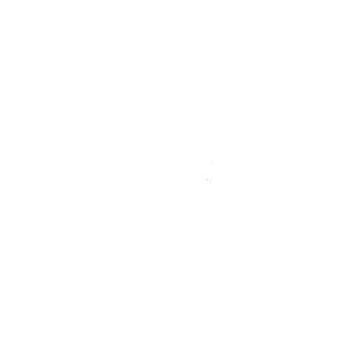 Cn1c(CCCCCC(=O)O)cc2cc(Cl)ccc21